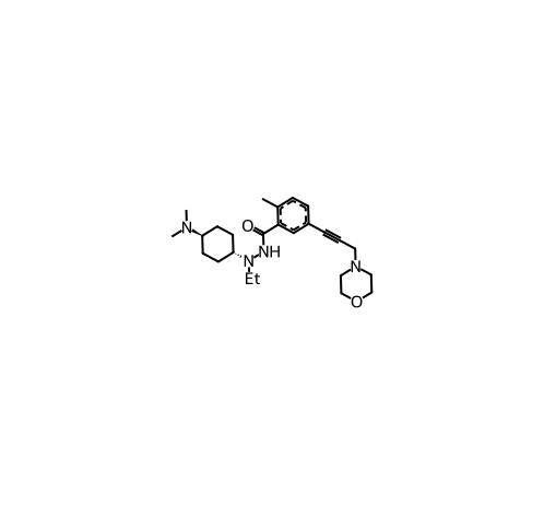 CCN(NC(=O)c1cc(C#CCN2CCOCC2)ccc1C)[C@H]1CC[C@H](N(C)C)CC1